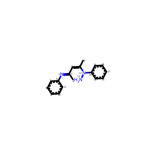 C/C(=C/C(C)=N/c1ccccc1)N(N)c1ccccc1